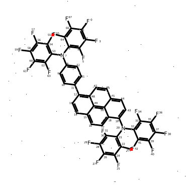 Fc1c(F)c(F)c(N(c2ccc(-c3ccc4ccc5c(N(c6c(F)c(F)c(F)c(F)c6F)c6c(F)c(F)c(F)c(F)c6F)ccc6ccc3c4c65)cc2)c2c(F)c(F)c(F)c(F)c2F)c(F)c1F